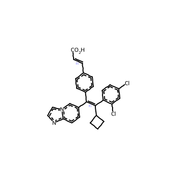 O=C(O)/C=C/c1ccc(/C(=C(\c2ccc(Cl)cc2Cl)C2CCC2)c2ccc3nccn3c2)cc1